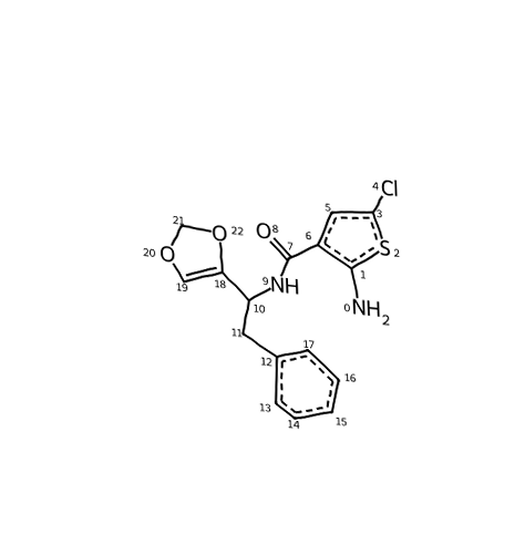 Nc1sc(Cl)cc1C(=O)NC(Cc1ccccc1)C1=COCO1